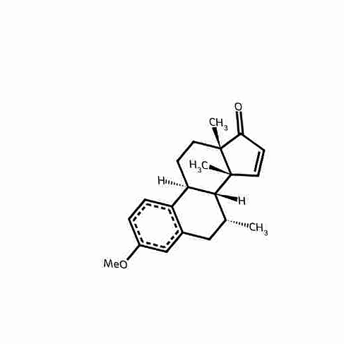 COc1ccc2c(c1)C[C@@H](C)[C@@H]1[C@@H]2CC[C@]2(C)C(=O)C=C[C@]12C